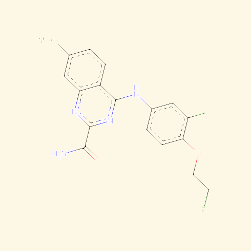 COc1[c]cc2c(Nc3ccc(OCCF)c(Cl)c3)nc(C(N)=O)nc2c1